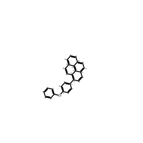 c1ccc(Oc2ccc(-c3ccc4ccc5cccc6ccc3c4c56)cc2)cc1